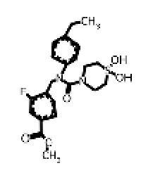 CCc1ccc(N(Cc2ccc(C(=O)OC)cc2F)C(=O)N2CCS(O)(O)CC2)cc1